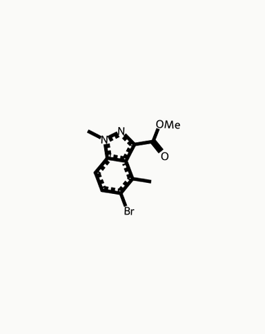 COC(=O)c1nn(C)c2ccc(Br)c(C)c12